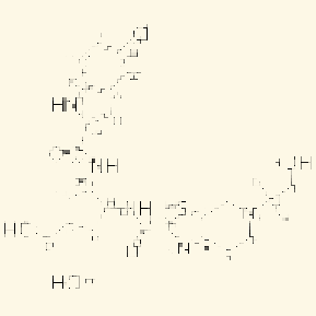 CC(C)(CO)N1CCc2nc(C(=O)NC3CC(CO)CC3NC(=O)c3cc4cc(Cl)ccc4[nH]3)sc2C1.Cl